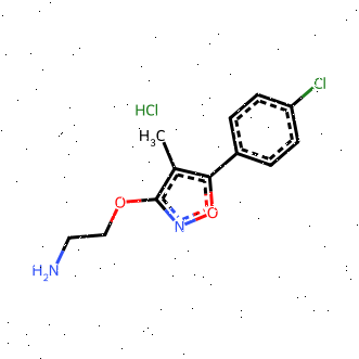 Cc1c(OCCN)noc1-c1ccc(Cl)cc1.Cl